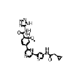 [2H]C1(OC)C=C(c2cncc(-c3cc(NC(=O)CC4CC4)cs3)n2)C=CC1C(=O)Nc1nnn[nH]1